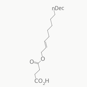 CCCCCCCCCCCCCCCC=CCOC(=O)CCC(=O)O